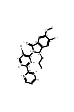 CCC[C@@H]1c2cc(F)c(OC)cc2C(=O)N1c1nc(-c2ncccn2)ncc1F